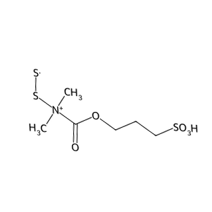 C[N+](C)(S[S])C(=O)OCCCS(=O)(=O)O